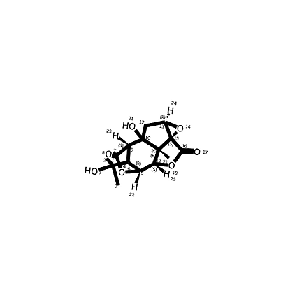 CC(C)(O)C1[C@H]2OC(=O)[C@@H]1C1(O)C[C@H]3O[C@]34C(=O)O[C@H]2[C@]14C